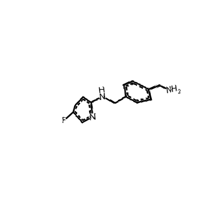 NCc1ccc(CNc2ccc(F)cn2)cc1